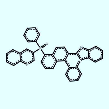 O=P(c1ccccc1)(c1cnc2ccccc2c1)c1cccc2c1ccc1c2c2ccccc2n2c3ccccc3nc12